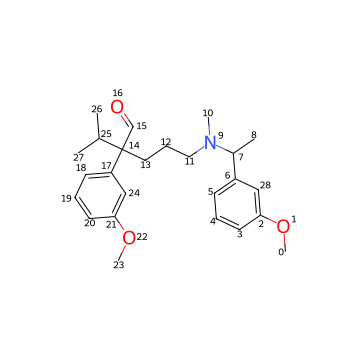 COc1cccc(C(C)N(C)CCCC(C=O)(c2cccc(OC)c2)C(C)C)c1